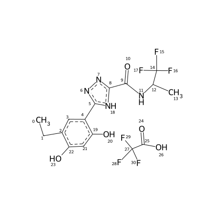 CCc1cc(-c2nnc(C(=O)NC(C)C(F)(F)F)[nH]2)c(O)cc1O.O=C(O)C(F)(F)F